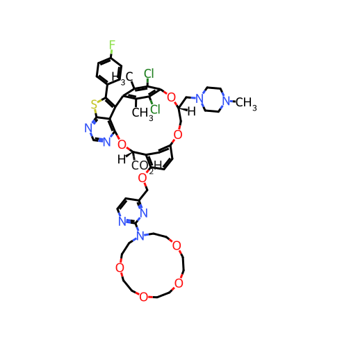 Cc1c(Cl)c2c(Cl)c(C)c1-c1c(-c3ccc(F)cc3)sc3ncnc(c13)O[C@@H](C(=O)O)c1cc(ccc1OCc1ccnc(N3CCOCCOCCOCCOCC3)n1)OC[C@@H](CN1CCN(C)CC1)O2